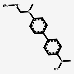 CN(CNC(C)(C)C)c1ccc(-c2ccc(N(C)C(C)(C)C)cc2)cc1